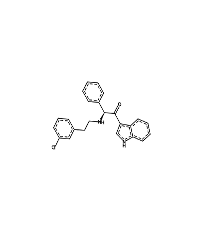 O=C(c1c[nH]c2ccccc12)[C@@H](NCCc1cccc(Cl)c1)c1ccccc1